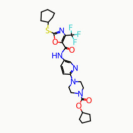 O=C(Nc1ccc(N2CCN(C(=O)OC3CCCC3)CC2)nc1)c1oc(SC2CCCCC2)nc1C(F)(F)F